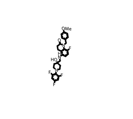 COc1ccc(CN2C(=O)CCc3c(NCC4(O)CCN(c5c(F)cc(F)cc5F)CC4)ccc(F)c32)cc1